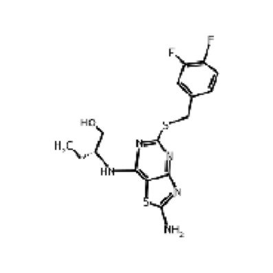 CC[C@H](CO)Nc1nc(SCc2ccc(F)c(F)c2)nc2nc(N)sc12